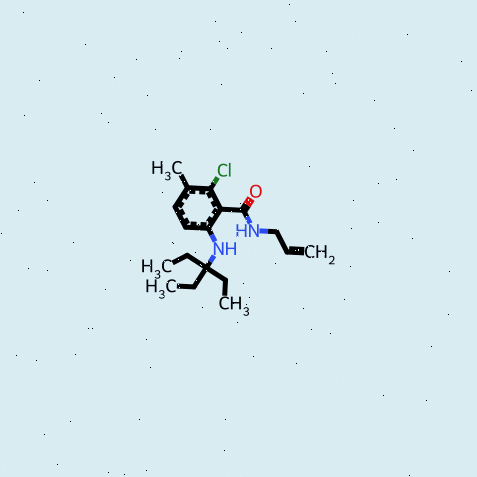 C=CCNC(=O)c1c(NC(CC)(CC)CC)ccc(C)c1Cl